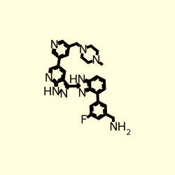 CN1CCN(Cc2cncc(-c3cnc4[nH]nc(-c5nc6c(-c7cc(F)cc(CN)c7)cccc6[nH]5)c4c3)c2)CC1